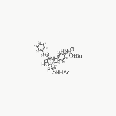 CC(=O)NCC(F)(F)C(O)C(Cc1ccc(NC(=O)OC(C)(C)C)cc1)NC(=O)OCc1ccccc1